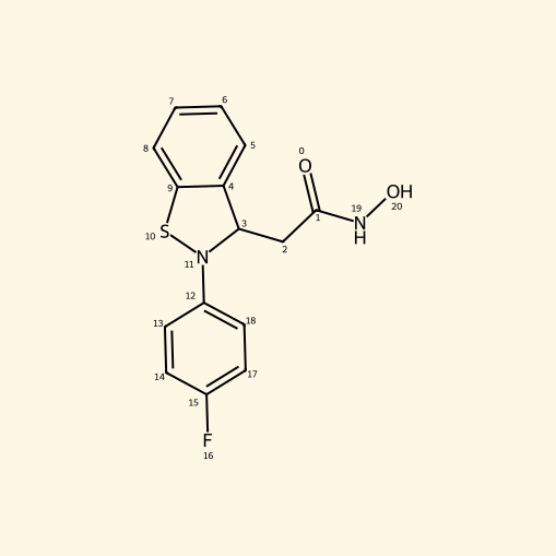 O=C(CC1c2ccccc2SN1c1ccc(F)cc1)NO